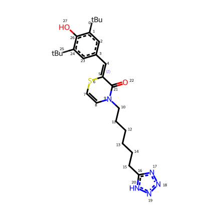 CC(C)(C)c1cc(/C=C2\SC=CN(CCCCCCc3nnn[nH]3)C2=O)cc(C(C)(C)C)c1O